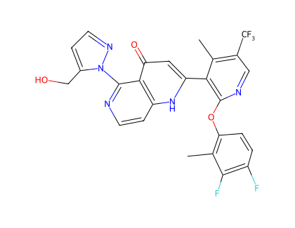 Cc1c(Oc2ncc(C(F)(F)F)c(C)c2-c2cc(=O)c3c(-n4nccc4CO)nccc3[nH]2)ccc(F)c1F